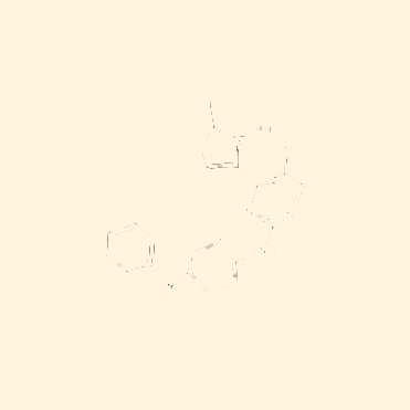 Cc1ncc(-c2nc(Nc3ccc(C(=O)c4ccccc4)cc3)ncc2F)n1C(C)C.Cl